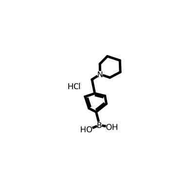 Cl.OB(O)c1ccc(CN2CCCCC2)cc1